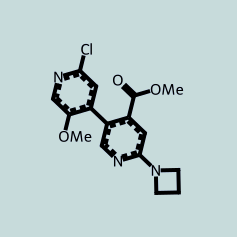 COC(=O)c1cc(N2CCC2)ncc1-c1cc(Cl)ncc1OC